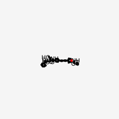 CC(C)(C)OC(=O)Nc1ccc(C#CC#Cc2ccc(C(=O)N[C@H](CO)C(=O)NOC(=O)c3ccccc3)cc2)cc1